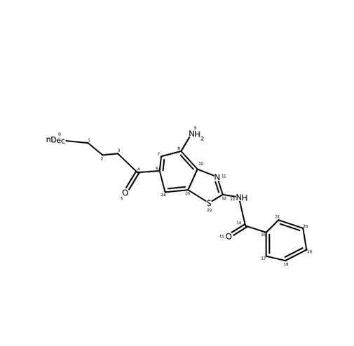 CCCCCCCCCCCCCC(=O)c1cc(N)c2nc(NC(=O)c3ccccc3)sc2c1